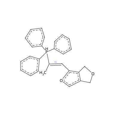 C/C(=C\c1occ2c1COC2)[PH](c1ccccc1)(c1ccccc1)c1ccccc1